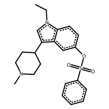 CCn1cc(C2CCN(C)CC2)c2cc(OS(=O)(=O)c3ccccc3)ccc21